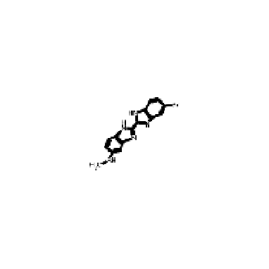 CBc1ccc2[nH]c(-c3nc4cc(Br)ccc4[nH]3)nc2c1